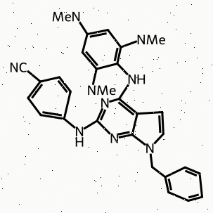 CNc1cc(NC)c(Nc2nc(Nc3ccc(C#N)cc3)nc3c2ccn3Cc2ccccc2)c(NC)c1